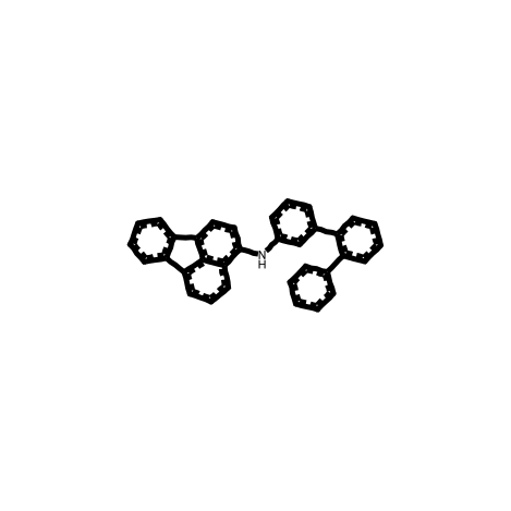 c1ccc(-c2ccccc2-c2cccc(Nc3ccc4c5c(cccc35)-c3ccccc3-4)c2)cc1